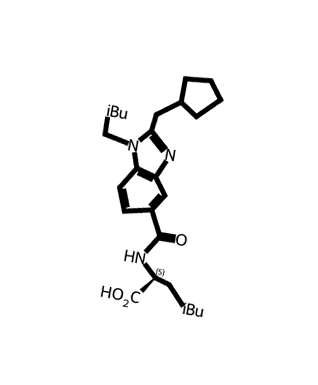 CCC(C)C[C@H](NC(=O)c1ccc2c(c1)nc(CC1CCCC1)n2CC(C)CC)C(=O)O